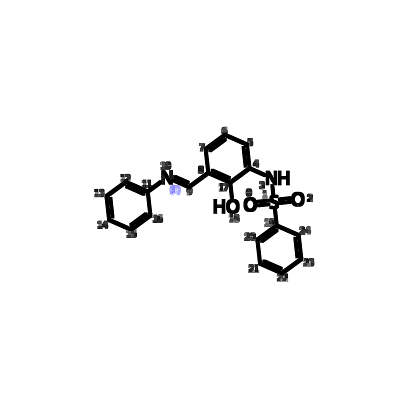 O=S(=O)(Nc1cccc(/C=N/c2ccccc2)c1O)c1ccccc1